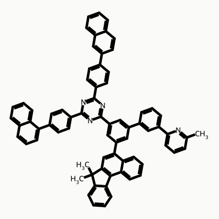 Cc1cccc(-c2cccc(-c3cc(-c4nc(-c5ccc(-c6ccc7ccccc7c6)cc5)nc(-c5ccc(-c6cccc7ccccc67)cc5)n4)cc(-c4cc5c(c6ccccc46)-c4ccccc4C5(C)C)c3)c2)n1